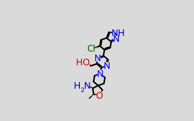 C[C@@H]1OCC2(CCN(c3ncc(-c4cc5n[nH]cc5cc4Cl)nc3CO)CC2)[C@@H]1N